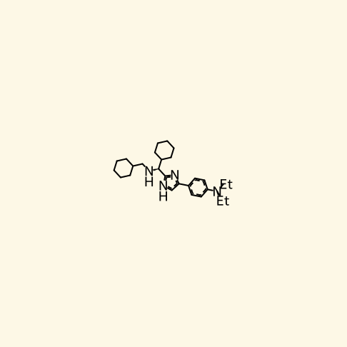 CCN(CC)c1ccc(-c2c[nH]c([C@@H](NCC3CCCCC3)C3CCCCC3)n2)cc1